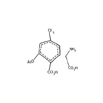 CC(=O)Oc1cc(C(F)(F)F)ccc1C(=O)O.NCC(=O)O